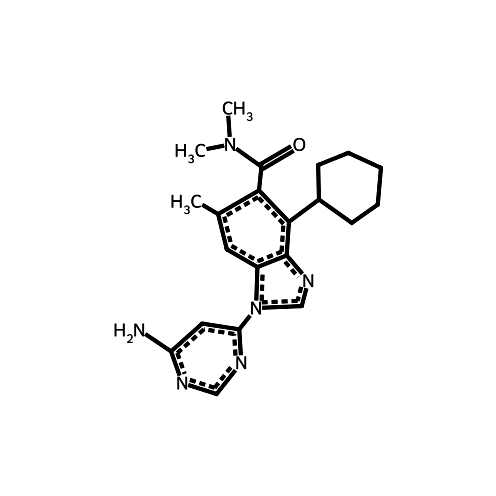 Cc1cc2c(ncn2-c2cc(N)ncn2)c(C2CCCCC2)c1C(=O)N(C)C